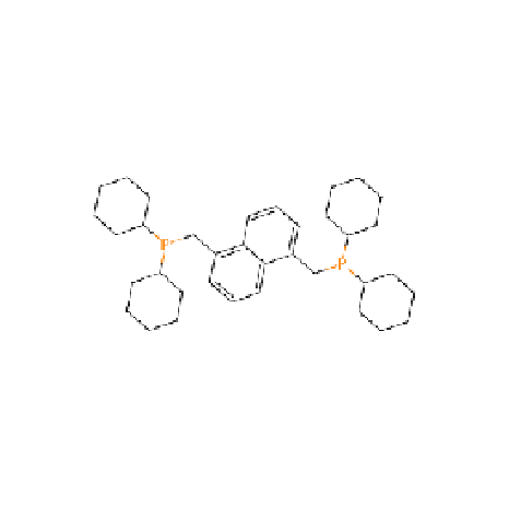 c1cc(CP(C2CCCCC2)C2CCCCC2)c2cccc(CP(C3CCCCC3)C3CCCCC3)c2c1